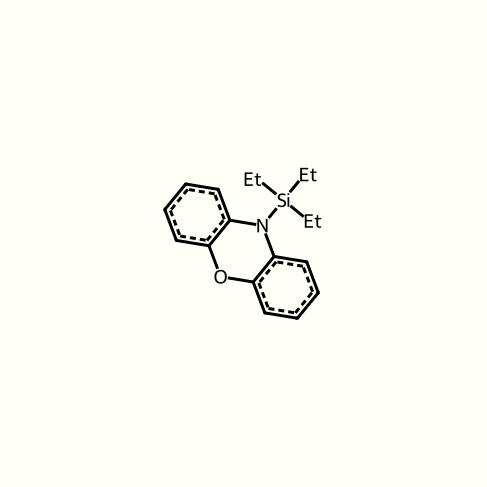 CC[Si](CC)(CC)N1c2ccccc2Oc2ccccc21